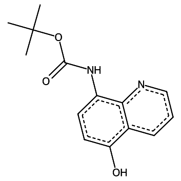 CC(C)(C)OC(=O)Nc1ccc(O)c2cccnc12